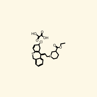 CCOC(=O)C1CCCN(CC=C2C3=C(C=CC(Cl)C3)SCc3ccccc32)C1.O=C(O)C(=O)O